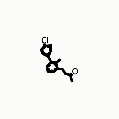 CC(=O)CCc1cccc(-c2ccc(Cl)cc2)c1C